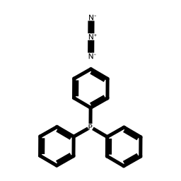 [N-]=[N+]=[N-].c1ccc(P(c2ccccc2)c2ccccc2)cc1